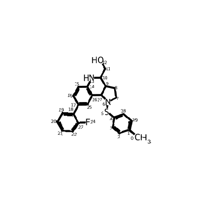 Cc1ccc(SN2CCC3C(CO)Nc4ccc(-c5ccccc5F)cc4C32)cc1